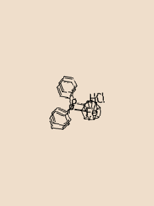 Cl.c1ccc(P(c2ccccc2)[C]23[CH]4[CH]5[CH]6[CH]2[Fe]56432789[CH]3[CH]2[CH]7[C]8(P(c2ccccc2)c2ccccc2)[CH]39)cc1